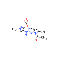 CC1OCC1n1c(C#N)cc2cnc(Nc3cn(C)nc3OC3COC3)nc21